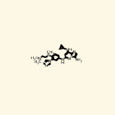 CN(C)CCN(C)c1ccc(Nc2cc(NC3CC3)c3ncc(N)n3n2)cc1-n1cnnc1